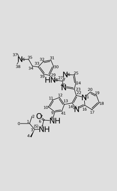 CC(C)[C@H](C)NC(=O)Nc1cccc(-c2nc3ccccn3c2-c2ccnc(Nc3cccc(CCN(C)C)c3)n2)c1